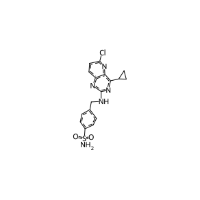 NS(=O)(=O)c1ccc(CNc2nc(C3CC3)c3nc(Cl)ccc3n2)cc1